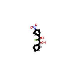 O=C(c1ccc([N+](=O)[O-])cc1)C(F)C(O)c1ccccc1